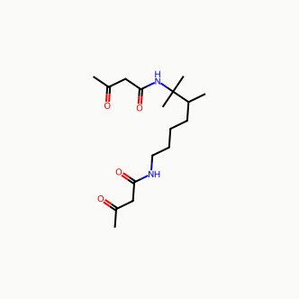 CC(=O)CC(=O)NCCCCC(C)C(C)(C)NC(=O)CC(C)=O